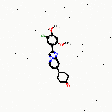 COc1cc(OC)c(-c2cn3ccc(C4CCC(=O)CC4)cc3n2)cc1Cl